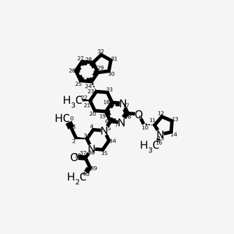 C#CC[C@H]1CN(c2nc(OC[C@@H]3CCCN3C)nc3c2C[C@@H](C)[C@H](c2cccc4c2CCC4)C3)CCN1C(=O)C=C